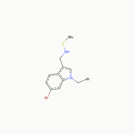 CC(C)Cn1cc(CNSC(C)(C)C)c2ccc(Br)cc21